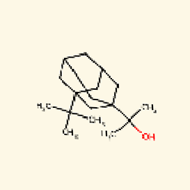 CC(C)(C)C12CC3CC(C1)CC(C(C)(C)O)(C3)C2